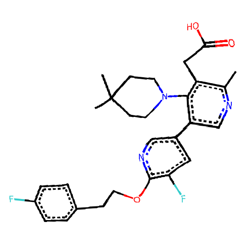 Cc1ncc(-c2cnc(OCCc3ccc(F)cc3)c(F)c2)c(N2CCC(C)(C)CC2)c1CC(=O)O